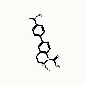 CC(=O)N1c2ccc(-c3ccc([C@H](C)N)cc3)cc2CC[C@@H]1C